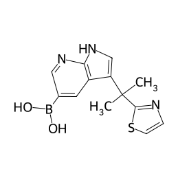 CC(C)(c1nccs1)c1c[nH]c2ncc(B(O)O)cc12